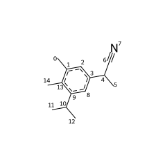 Cc1cc(C(C)C#N)cc(C(C)C)c1C